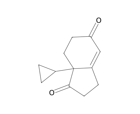 O=C1C=C2CCC(=O)C2(C2CC2)CC1